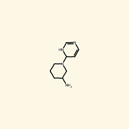 NC1CCCN(C2C=CN=[C]N2)C1